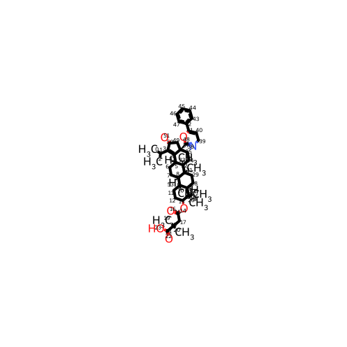 CC(C)C1=C2[C@H]3CC[C@@H]4[C@@]5(C)CC[C@H](OC(=O)CC(C)(C)C(=O)O)C(C)(C)[C@@H]5CC[C@@]4(C)[C@]3(C)CC[C@@]2(C2=NCC=C(c3ccccc3)O2)CC1=O